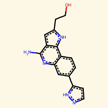 Nc1nc2cc(-c3ccn[nH]3)ccc2c2[nH]c(CCO)cc12